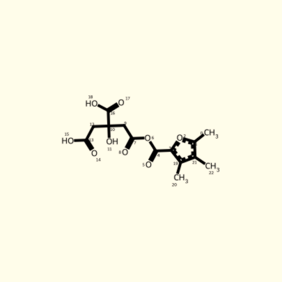 Cc1oc(C(=O)OC(=O)CC(O)(CC(=O)O)C(=O)O)c(C)c1C